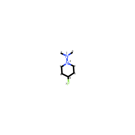 CN(C)N1CCC(F)CC1